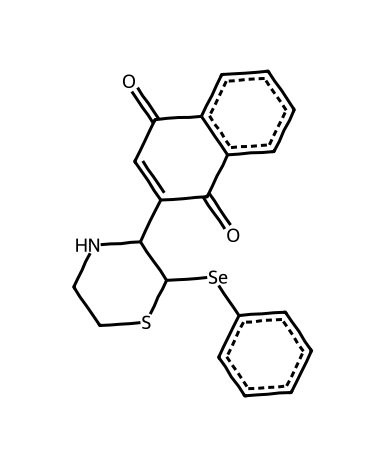 O=C1C=C(C2NCCSC2[Se]c2ccccc2)C(=O)c2ccccc21